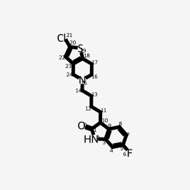 O=C1Nc2cc(F)ccc2C1CCCCN1CCc2sc(Cl)cc2C1